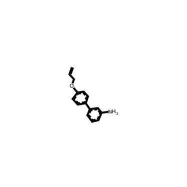 C=CCOc1ccc(-c2cccc(N)c2)cc1